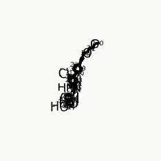 COCCOCC#Cc1ccc(-c2nc3nc(O[C@@H]4CO[C@H]5[C@@H]4OC[C@H]5O)[nH]c3cc2Cl)cc1